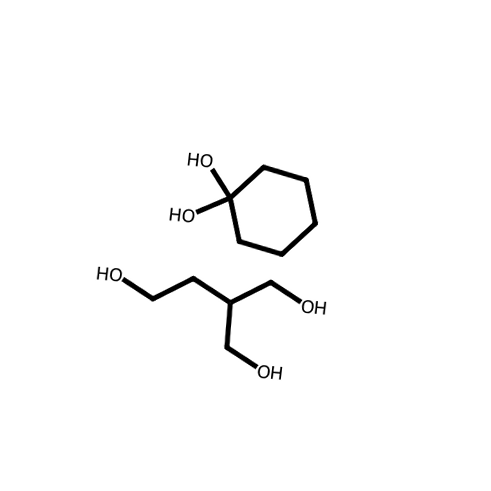 OC1(O)CCCCC1.OCCC(CO)CO